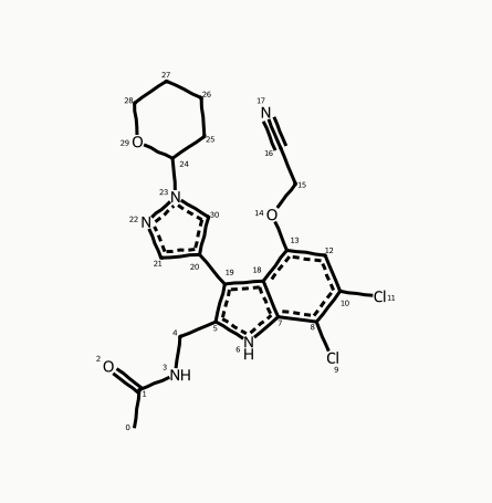 CC(=O)NCc1[nH]c2c(Cl)c(Cl)cc(OCC#N)c2c1-c1cnn(C2CCCCO2)c1